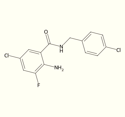 Nc1c(F)cc(Cl)cc1C(=O)NCc1ccc(Cl)cc1